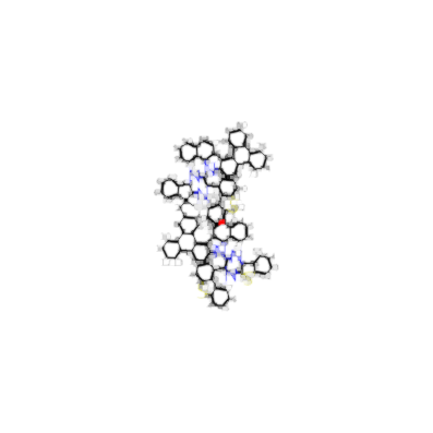 CC1(Cc2ccc3c(c2)c2ccccc2c2ccc4c(c5ccc6ccccc6c5n4-c4nc5c(nc4-c4cccc6sc7ccccc7c46)sc4ccccc45)c23)c2ccccc2-c2nc(-n3c4ccc5c6ccccc6c6ccccc6c5c4c4ccc5ccccc5c43)c(-c3cccc4sc5ccccc5c34)nc21